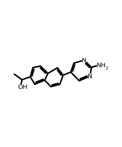 CC(O)c1ccc2cc(-c3cnc(N)nc3)ccc2c1